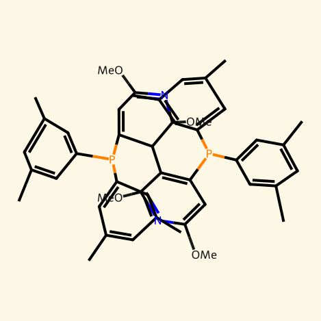 COC1=NC(OC)C(c2c(P(c3cc(C)cc(C)c3)c3cc(C)cc(C)c3)cc(OC)nc2OC)C(P(c2cc(C)cc(C)c2)c2cc(C)cc(C)c2)=C1